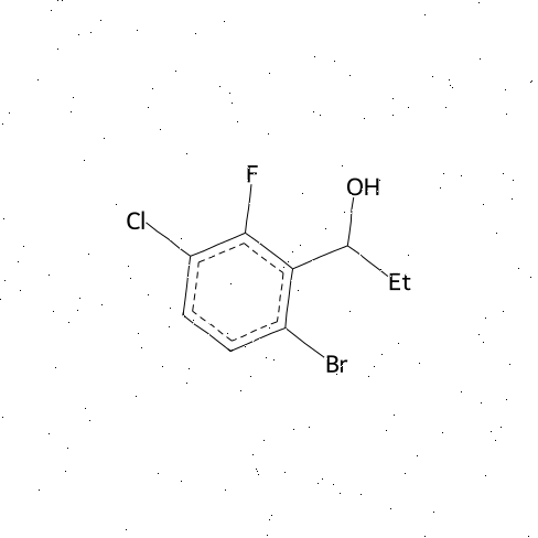 CCC(O)c1c(Br)ccc(Cl)c1F